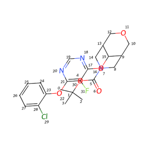 CC(C)(C)OC(=O)N1CC2COCC(C1)C2Oc1ncnc(Oc2ccccc2Cl)c1F